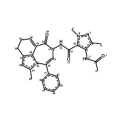 CC(=O)Nc1c(C)nn(C)c1C(=O)NN1C=C(c2ccccc2)n2c(C)cc3c2C(=CCC3)C1=O